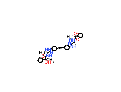 C[C@H](NC(=O)[C@@](C)(O)c1ccccc1)c1nc2cc(C#Cc3ccc4[nH]c([C@H](C)NC(=O)[C@@](C)(O)c5ccccc5)nc4c3)ccc2[nH]1